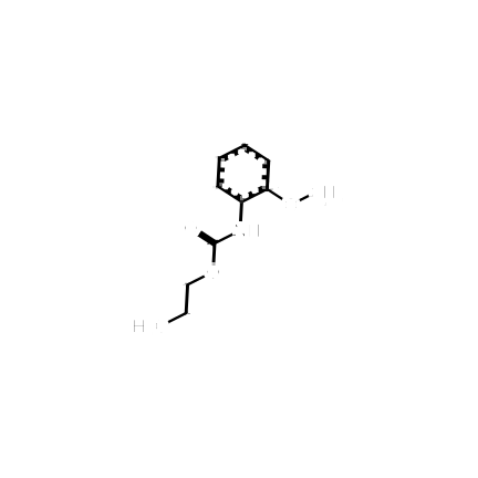 CCCOC(=O)Nc1ccccc1OC